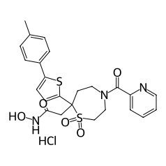 Cc1ccc(-c2ccc(C3(CC(=O)NO)CCN(C(=O)c4ccccn4)CCS3(=O)=O)s2)cc1.Cl